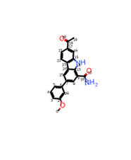 COc1cccc(-c2cc(C(N)=O)c3[nH]c4cc(C(C)=O)ccc4c3c2)c1